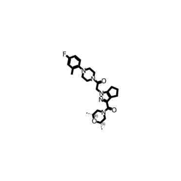 Cc1cc(F)ccc1N1CCN(C(=O)Cn2nc(C(=O)N3C[C@@H](C)O[C@@H](C)C3)c3c2CCC3)CC1